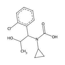 CC(O)C(c1ccccc1Cl)N(C(=O)O)C1CC1